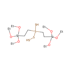 CCO[Si](CCS(S)(CC[Si](OCC)(OCC)OCC)SS)(OCC)OCC